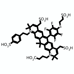 CC1(C)c2cc3c(cc2C(c2c(F)c(F)c(SCCS(=O)(=O)O)c(F)c2F)=c2cc4c(cc21)=[N+](CCc1ccc(S(=O)(=O)O)cc1)C(C)(C)C=C4CS(=O)(=O)O)C(CS(=O)(=O)O)=CC(C)(C)N3CCCC(=O)O